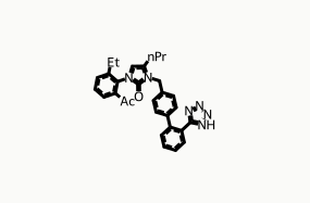 CCCc1cn(-c2c(CC)cccc2C(C)=O)c(=O)n1Cc1ccc(-c2ccccc2-c2nnn[nH]2)cc1